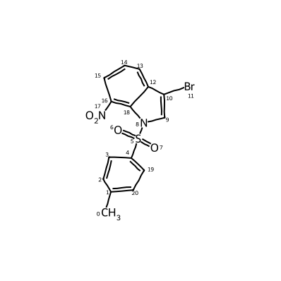 Cc1ccc(S(=O)(=O)n2cc(Br)c3cccc([N+](=O)[O-])c32)cc1